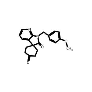 COc1ccc(CN2C(=O)C3(CCC(=O)CC3)c3cccnc32)cc1